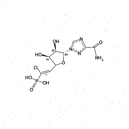 NC(=O)c1ncn([C@@H]2OC(/C=C(\Cl)P(=O)(O)O)[C@@H](O)[C@H]2O)n1